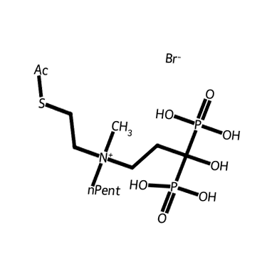 CCCCC[N+](C)(CCSC(C)=O)CCC(O)(P(=O)(O)O)P(=O)(O)O.[Br-]